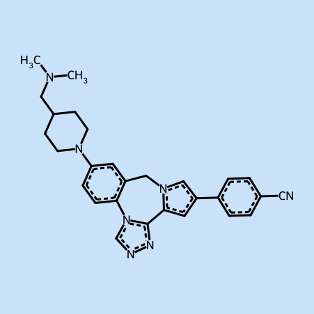 CN(C)CC1CCN(c2ccc3c(c2)Cn2cc(-c4ccc(C#N)cc4)cc2-c2nncn2-3)CC1